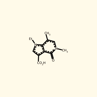 CCn1cc(C(=O)O)c2c(=O)n(C)cc(C)c21